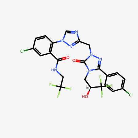 O=C(NCC(F)(F)F)c1cc(Cl)ccc1-n1cnc(Cn2nc(-c3ccc(Cl)cc3)n(C[C@H](O)C(F)(F)F)c2=O)n1